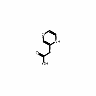 O=C(O)CC1=COC=CN1